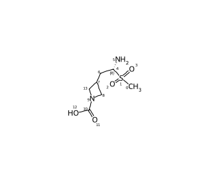 CS(=O)(=O)[C@@H](N)CC1CN(C(=O)O)C1